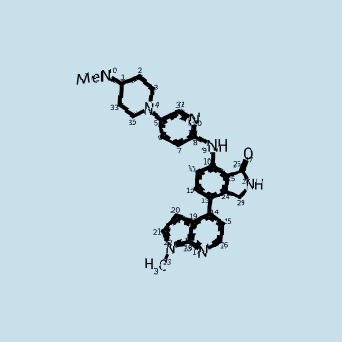 CNC1CCN(c2ccc(Nc3ccc(-c4ccnc5c4ccn5C)c4c3C(=O)NC4)nc2)CC1